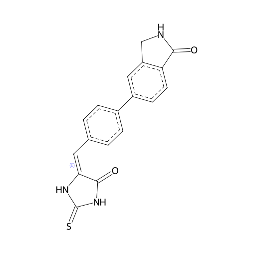 O=C1NC(=S)N/C1=C/c1ccc(-c2ccc3c(c2)CNC3=O)cc1